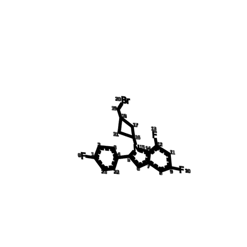 Fc1ccc(-c2cc3cc(F)cc(F)c3n2C2CC(CBr)C2)cc1